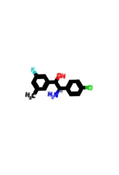 Cc1cc(F)cc(C(O)[C@H](N)c2ccc(Cl)cc2)c1